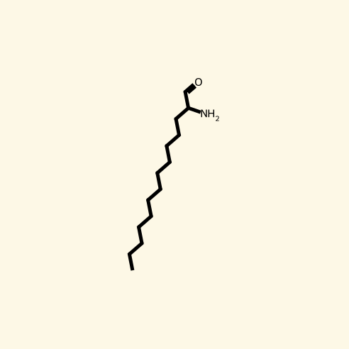 CCCCCCCCCCCCC(N)C=O